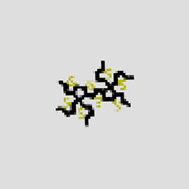 Cc1ccc(C2(c3ccc(C)s3)c3cc(C)sc3-c3sc4c5c(sc4c32)-c2sc(C)cc2C5(c2ccc(C)s2)c2ccc(C)s2)s1